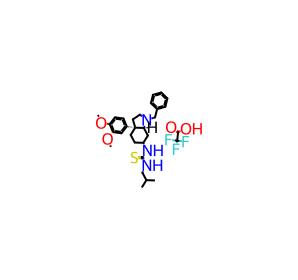 COc1ccc([C@@]23CC[C@@H](NC(=S)NCC(C)C)C[C@@H]2N(Cc2ccccc2)CC3)cc1OC.O=C(O)C(F)(F)F